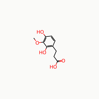 COc1c(O)ccc(CCC(=O)O)c1O